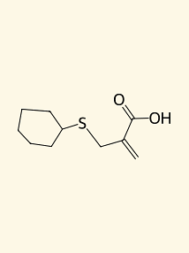 C=C(CSC1CCCCC1)C(=O)O